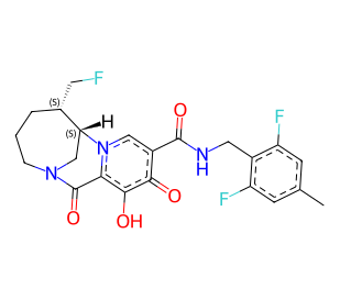 Cc1cc(F)c(CNC(=O)c2cn3c(c(O)c2=O)C(=O)N2CCC[C@H](CF)[C@H]3C2)c(F)c1